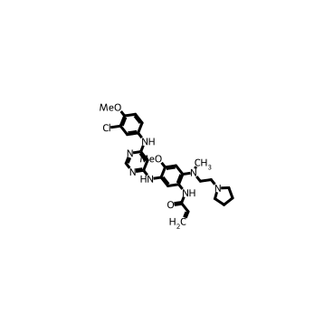 C=CC(=O)Nc1cc(Nc2cc(Nc3ccc(OC)c(Cl)c3)ncn2)c(OC)cc1N(C)CCN1CCCC1